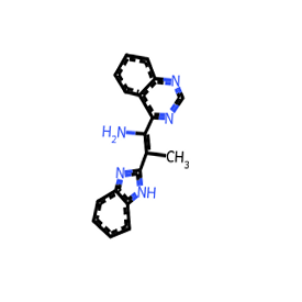 C/C(=C(/N)c1ncnc2ccccc12)c1nc2ccccc2[nH]1